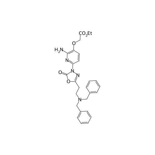 CCOC(=O)COc1ccc(-n2nc(CCN(Cc3ccccc3)Cc3ccccc3)oc2=O)nc1N